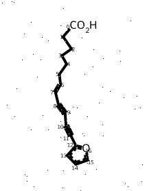 O=C(O)CCCCCC=CC#CC#Cc1ccco1